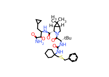 CC(C)(C)[C@H](NC(=O)NC1(CSCc2ccccc2)CCCCC1)C(=O)N1C[C@H]2[C@@H]([C@H]1C(=O)NC(CC1CC1)C(=O)C(N)=O)C2(C)C